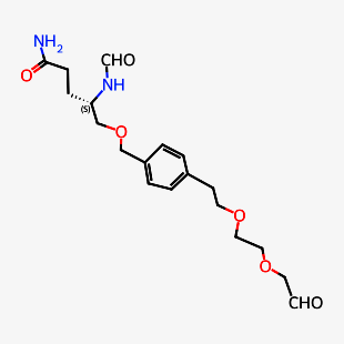 NC(=O)CC[C@@H](COCc1ccc(CCOCCOCC=O)cc1)NC=O